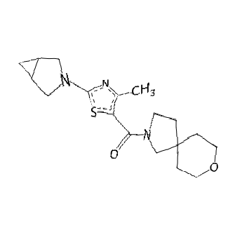 Cc1nc(N2CC3CC3C2)sc1C(=O)N1CCC2(CCOCC2)C1